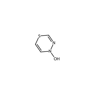 ON1C=CSC=N1